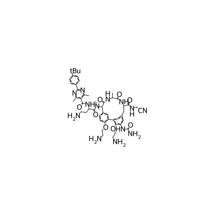 Cc1nc(-c2ccc(C(C)(C)C)cc2)nc(C)c1C(=O)NC(CCN)C(=O)N(C)C1C(=O)NC(C)C(=O)NC(C(=O)NCC#N)Cc2cc(NC(N)=O)c(OCCN)c(c2)-c2cc1ccc2OCCN